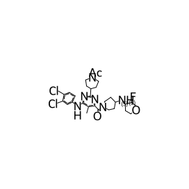 CC(=O)N1CCC(c2nc(Nc3ccc(Cl)c(Cl)c3)c(C)c(C(=O)N3CCC(N[C@H]4CCOC[C@H]4F)CC3)n2)CC1